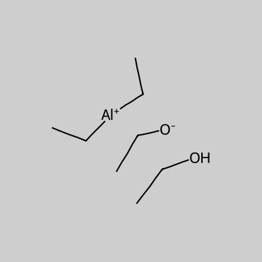 CCO.CC[O-].C[CH2][Al+][CH2]C